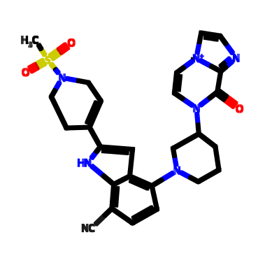 CS(=O)(=O)N1CC=C(c2cc3c(N4CCCC(N5C=C[N+]6C=CN=C6C5=O)C4)ccc(C#N)c3[nH]2)CC1